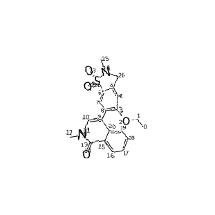 CCOc1cc2c(cc1-c1cn(C)c(=O)c3ccccc13)S(=O)(=O)N(C)C2